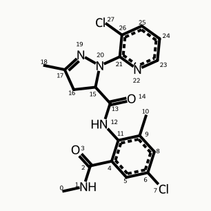 CNC(=O)c1cc(Cl)cc(C)c1NC(=O)C1CC(C)=NN1c1ncccc1Cl